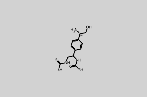 N[C@@H](CO)c1ccc(C(CNC(=S)S)NC(=S)S)cc1